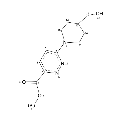 CC(C)(C)OC(=O)c1ccc(N2CCC(CO)CC2)nn1